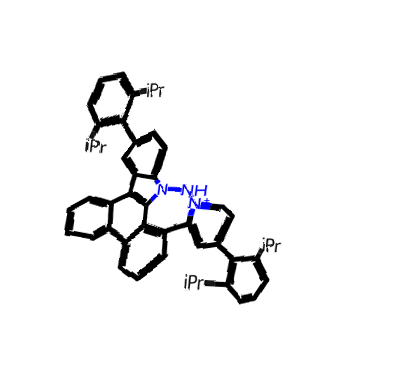 CC(C)c1cccc(C(C)C)c1-c1ccc2c(c1)c1c3ccccc3c3cccc4c3c1n2[nH][n+]1ccc(-c2c(C(C)C)cccc2C(C)C)cc41